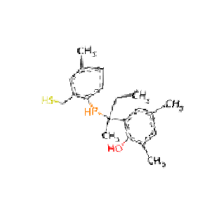 CCC(C)(Pc1ccc(C)cc1CS)c1cc(C)cc(C)c1O